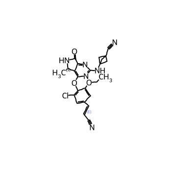 CCOc1cc(/C=C/C#N)cc(Cl)c1Oc1nc(NC23CC(C#N)(C2)C3)nc2c1[C@H](C)NC2=O